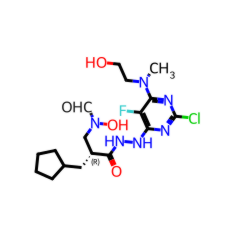 CN(CCO)c1nc(Cl)nc(NNC(=O)[C@H](CC2CCCC2)CN(O)C=O)c1F